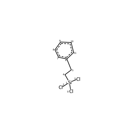 Cl[Si](Cl)(Cl)CCc1ccccc1